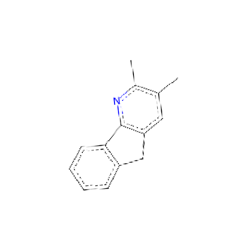 Cc1cc2c(nc1C)-c1ccccc1C2